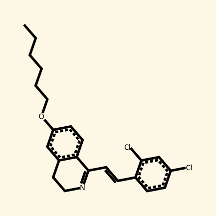 CCCCCCOc1ccc2c(c1)CCN=C2C=Cc1ccc(Cl)cc1Cl